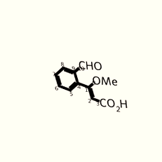 CO/C(=C\C(=O)O)c1ccccc1C=O